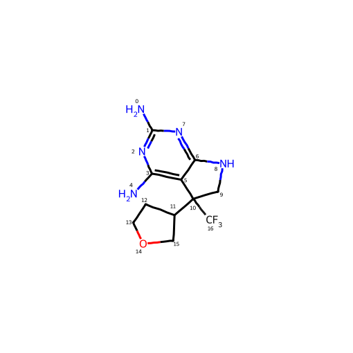 Nc1nc(N)c2c(n1)NCC2(C1CCOC1)C(F)(F)F